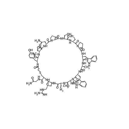 C=C[C@H]1C(=O)N[C@@H](CC(N)=O)C(=O)N2CCC[C@H]2C(=O)N[C@@H](CO)C(=O)N[C@@H](CC(C)C)C(=O)N2CCC[C@H]2C(=O)N[C@@H](Cc2c[nH]c3ccccc23)C(=O)N[C@@H](C)C(=O)N[C@@H](Cc2c[nH]c3ccccc23)C(=O)N(C)[C@@H](CCCC)C(=O)N(C)[C@@H](C)C(=O)N[C@@H](CCCNC(=N)N)C(=O)NC(C(=O)NCC(N)=O)CSCC(=O)NC(Cc2ccc(O)cc2)C(=O)N1C